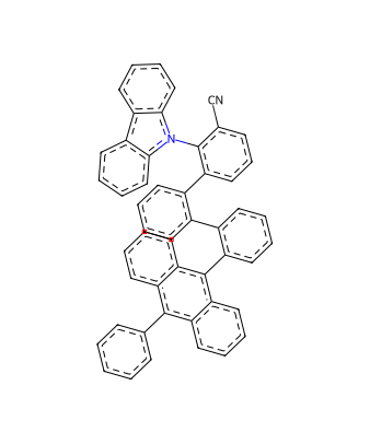 N#Cc1cccc(-c2ccccc2-c2ccccc2-c2c3ccccc3c(-c3ccccc3)c3ccccc23)c1-n1c2ccccc2c2ccccc21